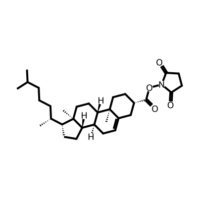 CC(C)CCC[C@@H](C)[C@H]1CC[C@H]2[C@@H]3CC=C4C[C@@H](C(=O)ON5C(=O)CCC5=O)CC[C@]4(C)[C@H]3CC[C@]12C